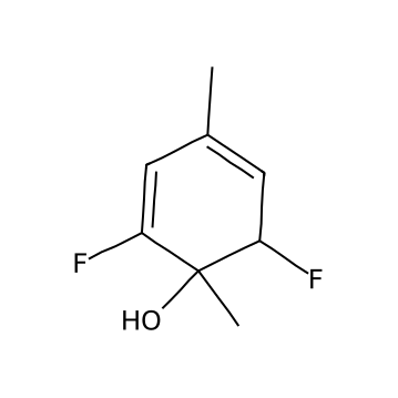 CC1=CC(F)C(C)(O)C(F)=C1